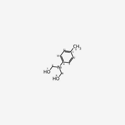 Cc1ccc(N(CO)CO)cc1